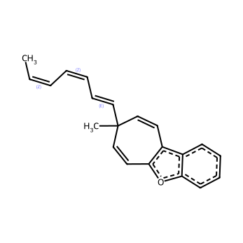 C\C=C/C=C\C=C\C1(C)C=Cc2oc3ccccc3c2C=C1